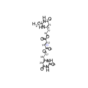 C=C1NC(=O)C=C(CCOC(=O)/C=C/C(=O)OCCc2cc(=O)[nH]c(=O)[nH]2)N1